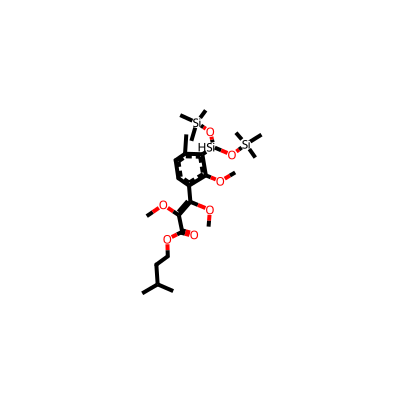 COC(C(=O)OCCC(C)C)=C(OC)c1ccc(C)c([SiH](O[Si](C)(C)C)O[Si](C)(C)C)c1OC